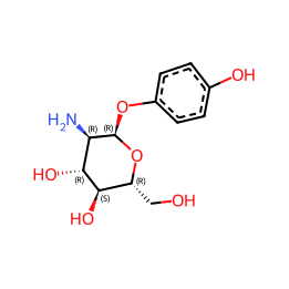 N[C@H]1[C@@H](Oc2ccc(O)cc2)O[C@H](CO)[C@@H](O)[C@@H]1O